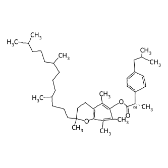 Cc1c(C)c2c(c(C)c1OC(=O)[C@@H](C)c1ccc(CC(C)C)cc1)CCC(C)(CCCC(C)CCCC(C)CCCC(C)C)O2